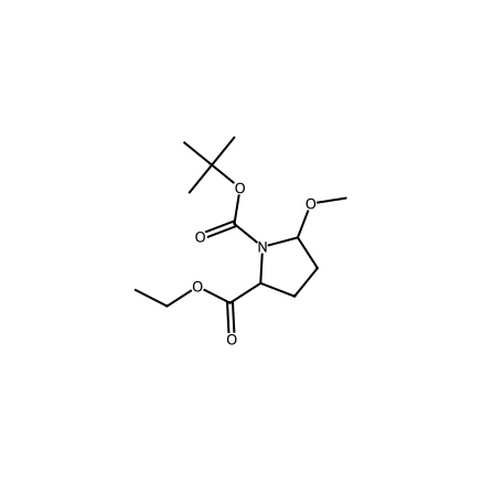 CCOC(=O)C1CCC(OC)N1C(=O)OC(C)(C)C